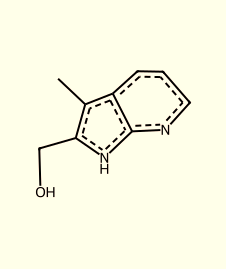 Cc1c(CO)[nH]c2ncccc12